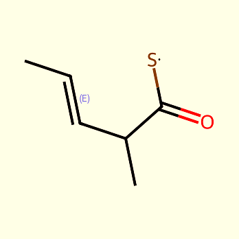 C/C=C/C(C)C(=O)[S]